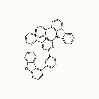 c1ccc(-c2nc(-c3cccc(-c4cccc5oc6ccccc6c45)c3)nc(-n3c4ccccc4c4cccc(-c5ccccc5)c43)n2)cc1